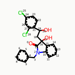 O=C1N(Cc2ccccc2)c2ccccc2C1(O)CC(O)c1ccc(Cl)cc1Cl